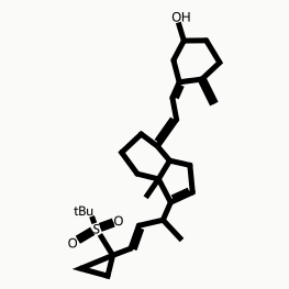 C=C1CCC(O)C/C1=C/C=C1\CCCC2(C)C(C(C)/C=C/C3(S(=O)(=O)C(C)(C)C)CC3)=CCC12